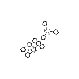 c1ccc(-c2cc(-c3ccccc3)nc(-c3ccc(-c4c5ccccc5c(-c5ncc6c(n5)C5(c7ccccc7-c7ccccc75)c5ccccc5-6)c5ccccc45)cc3)n2)cc1